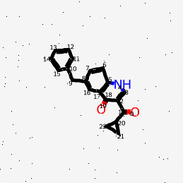 O=C(c1c[nH]c2ccc(Cc3ccccc3)cc2c1=O)C1CC1